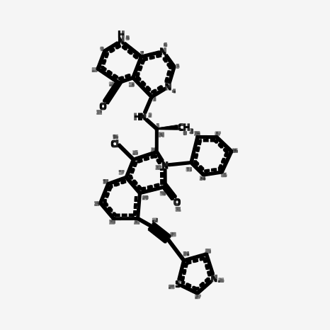 C[C@H](Nc1ncnc2[nH]ccc(=O)c12)c1c(Cl)c2cccc(C#Cc3cncs3)c2c(=O)n1-c1ccccc1